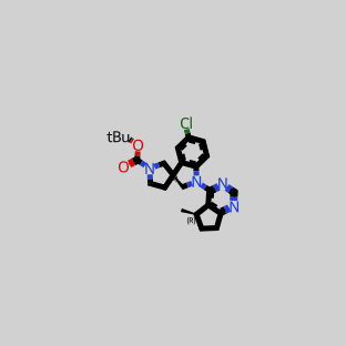 C[C@@H]1CCc2ncnc(N3C[C@]4(CCN(C(=O)OC(C)(C)C)C4)c4cc(Cl)ccc43)c21